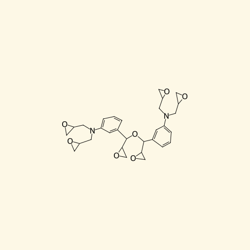 c1cc(C(OC(c2cccc(N(CC3CO3)CC3CO3)c2)C2CO2)C2CO2)cc(N(CC2CO2)CC2CO2)c1